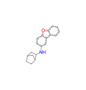 c1ccc2c(c1)oc1ccc(NC3CC4CCC3C4)cc12